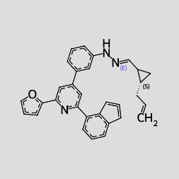 C=CC[C@H]1CC1/C=N/Nc1cccc(-c2cc(-c3ccco3)nc(-c3cccc4c3C=C=C4)c2)c1